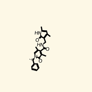 Cc1cc(C)c(CNC(=O)c2c(C)cn([C@@H](C)c3ccccc3)c(=O)c2C)c(=O)[nH]1